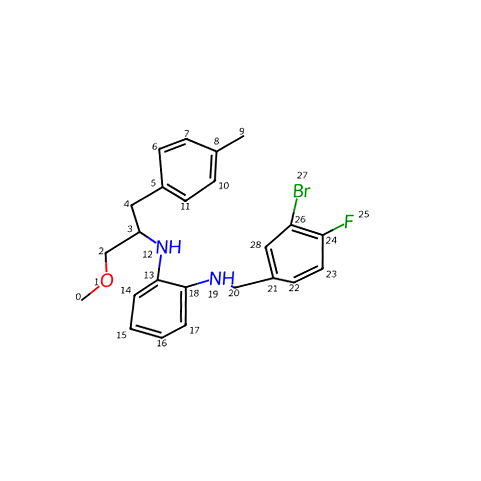 COCC(Cc1ccc(C)cc1)Nc1ccccc1NCc1ccc(F)c(Br)c1